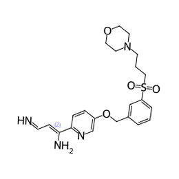 N=C/C=C(\N)c1ccc(OCc2cccc(S(=O)(=O)CCCN3CCOCC3)c2)cn1